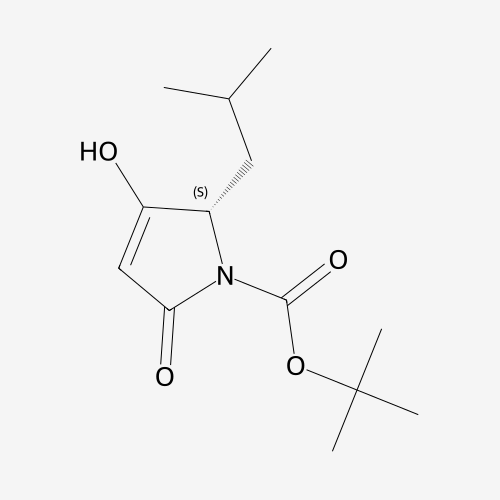 CC(C)C[C@H]1C(O)=CC(=O)N1C(=O)OC(C)(C)C